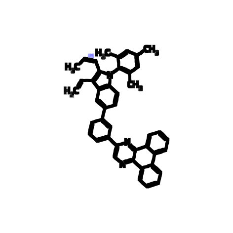 C=Cc1c(/C=C\C)n(-c2c(C)cc(C)cc2C)c2ccc(-c3cccc(-c4cnc5c6ccccc6c6ccccc6c5n4)c3)cc12